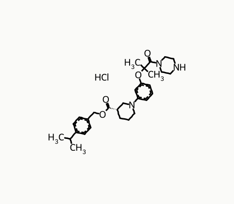 CC(C)c1ccc(COC(=O)[C@H]2CCCN(c3cccc(OC(C)(C)C(=O)N4CCNCC4)c3)C2)cc1.Cl